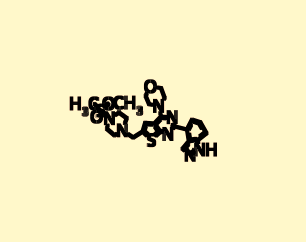 C[C@H]1CN(Cc2cc3c(N4CCOCC4)nc(-c4cccc5[nH]ncc45)nc3s2)CCN1S(C)(=O)=O